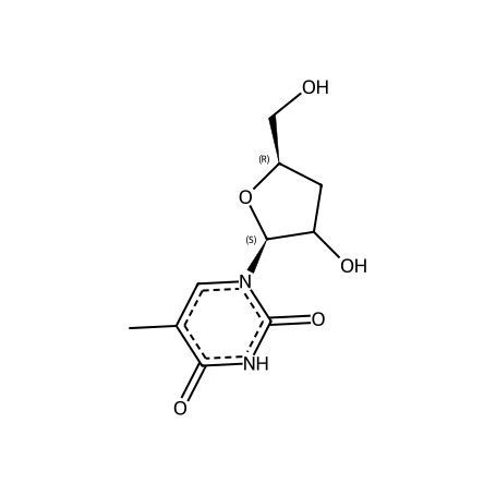 Cc1cn([C@H]2O[C@@H](CO)CC2O)c(=O)[nH]c1=O